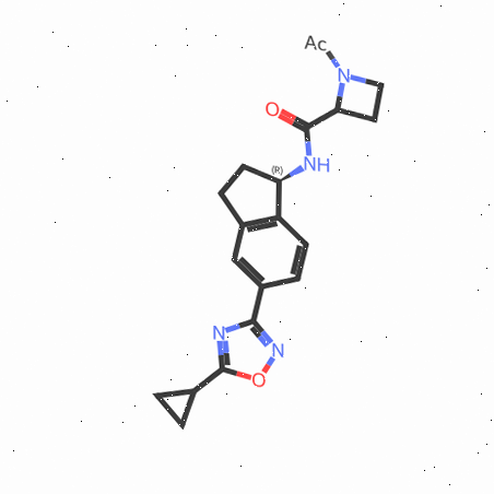 CC(=O)N1CCC1C(=O)N[C@@H]1CCc2cc(-c3noc(C4CC4)n3)ccc21